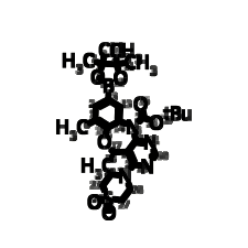 Cc1cc(B2OC(C)(C)C(C)(C)O2)cc2c1O[C@H](C)c1c(N3CCS(=O)(=O)CC3)ncnc1N2C(=O)OC(C)(C)C